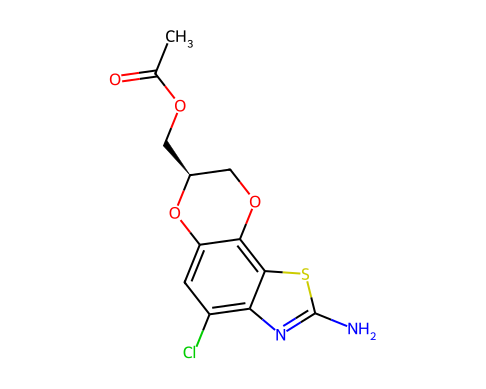 CC(=O)OC[C@H]1COc2c(cc(Cl)c3nc(N)sc23)O1